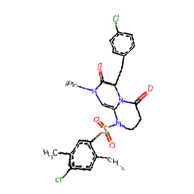 Cc1cc(S(=O)(=O)N2CCC(=O)N3C2=CN(C(C)C)C(=O)C3Cc2ccc(Cl)cc2)c(C)cc1Cl